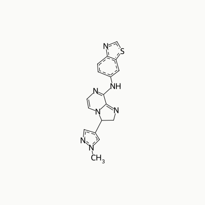 Cn1cc(C2CN=C3C(Nc4ccc5ncsc5c4)=NC=CN32)cn1